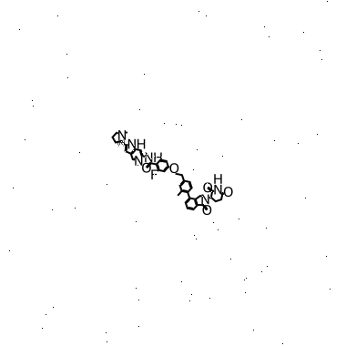 Cc1cc(CCOc2ccc(C(=O)Nc3cc4[nH]c([C@H]5CCCN5C)cc4cn3)c(F)c2)ccc1-c1cccc2c1CN(C1CCC(=O)NC1=O)C2=O